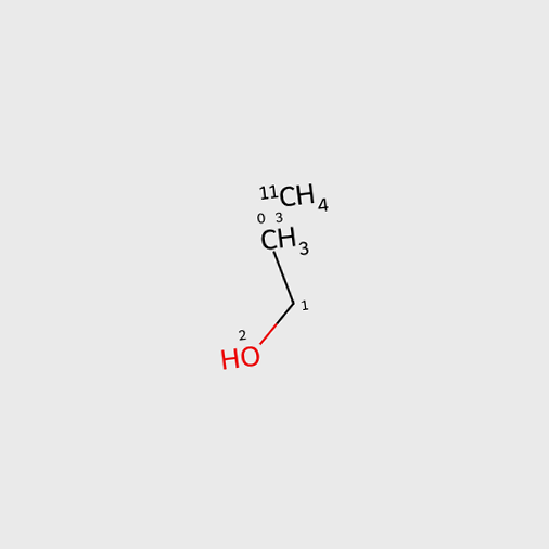 CCO.[11CH4]